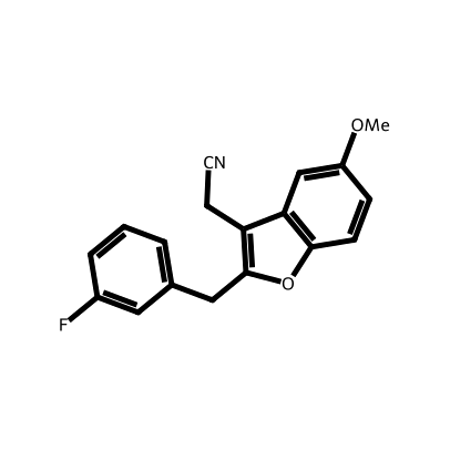 COc1ccc2oc(Cc3cccc(F)c3)c(CC#N)c2c1